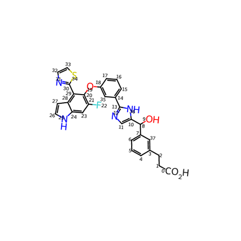 O=C(O)CCc1cccc(C(O)c2cnc(-c3cccc(Oc4c(F)cc5[nH]ccc5c4-c4nccs4)c3)[nH]2)c1